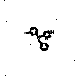 [CH2]c1cccc(N(Cc2ccccc2)c2c[nH]cn2)c1